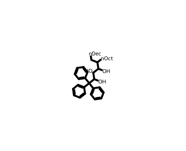 CCCCCCCCCCCC(CCCCCCCC)C(O)C(O)C(O)C(c1ccccc1)(c1ccccc1)c1ccccc1